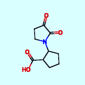 O=C1CCN(C2CCCC2C(=O)O)C1=O